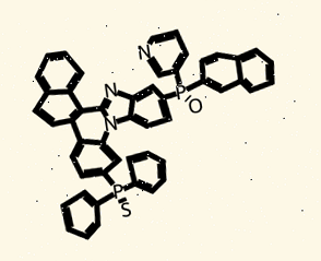 O=P(c1cccnc1)(c1ccc2ccccc2c1)c1ccc2c(c1)nc1c3c4ccccc4ccc3c3ccc(P(=S)(c4ccccc4)c4ccccc4)cc3n21